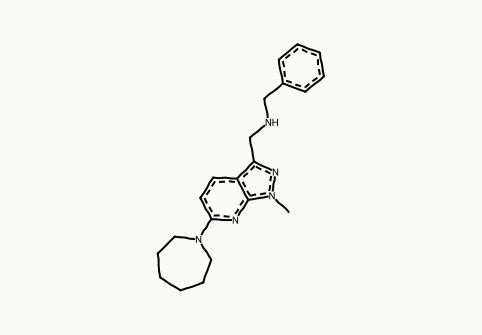 Cn1nc(CNCc2ccccc2)c2ccc(N3CCCCCC3)nc21